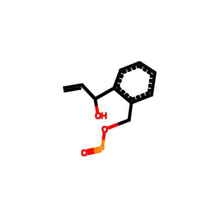 C=CC(O)c1ccccc1COP=O